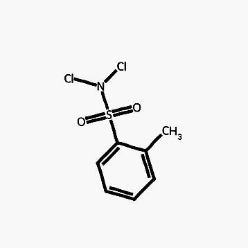 Cc1ccccc1S(=O)(=O)N(Cl)Cl